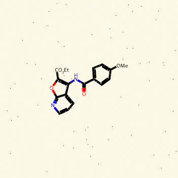 CCOC(=O)c1oc2ncccc2c1NC(=O)c1ccc(OC)cc1